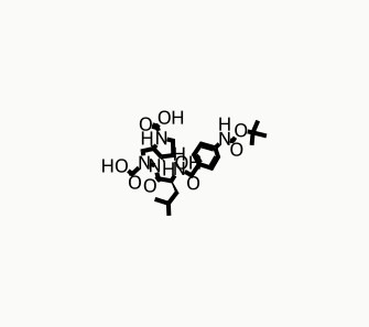 CC(C)C[C@H](NC(=O)c1ccc(NC(=O)OC(C)(C)C)cc1)C(=O)N1[C@H]2[C@@H](CN1C(=O)O)N(C(=O)O)C[C@@H]2O